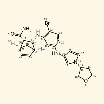 NC(=O)[C@@H]1[C@H](Nc2nc(Nc3cnn([C@@H]4CCOC4)c3)ncc2Br)[C@H]2C=C[C@@H]1C2